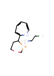 O=P1(NCCCl)COCCC1C1=CC=CC=CN1